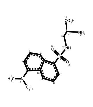 CN(C)c1cccc2c(S(=O)(=O)NC[C@H](N)C(=O)O)cccc12